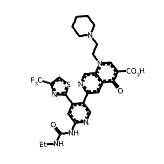 CCNC(=O)Nc1cc(-c2nc(C(F)(F)F)cs2)c(-c2cc3c(=O)c(C(=O)O)cn(CCN4CCCCC4)c3cn2)cn1